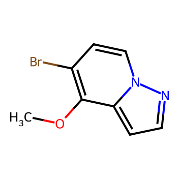 COc1c(Br)ccn2nccc12